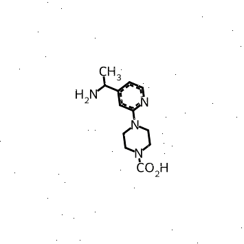 CC(N)c1ccnc(N2CCN(C(=O)O)CC2)c1